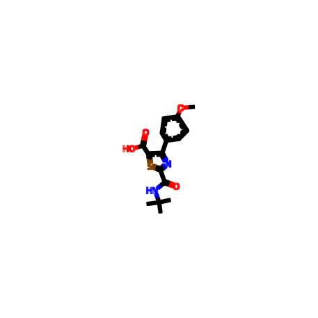 COc1ccc(-c2nc(C(=O)NC(C)(C)C)sc2C(=O)O)cc1